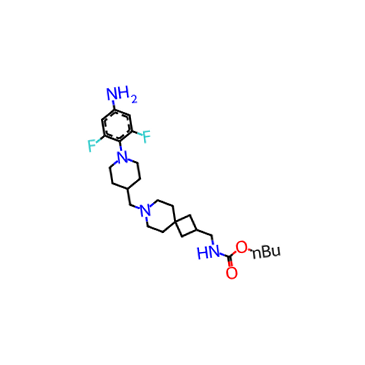 CCCCOC(=O)NCC1CC2(CCN(CC3CCN(c4c(F)cc(N)cc4F)CC3)CC2)C1